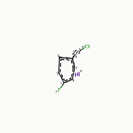 Fc1cc[c]([Zn][Cl])cc1.I